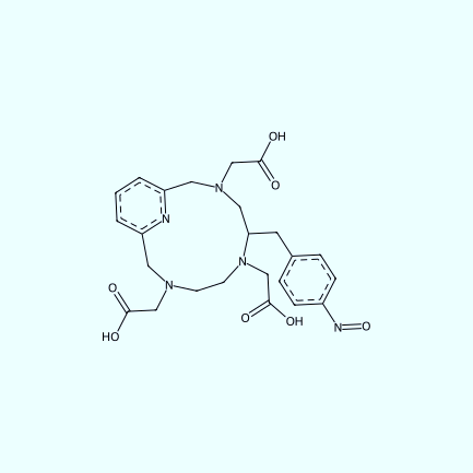 O=Nc1ccc(CC2CN(CC(=O)O)Cc3cccc(n3)CN(CC(=O)O)CCN2CC(=O)O)cc1